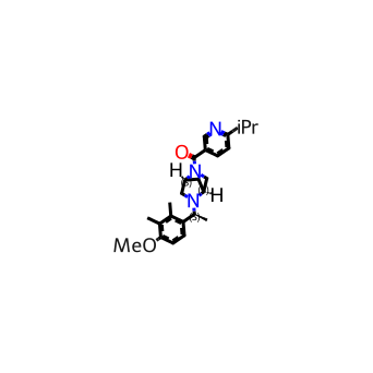 COc1ccc([C@H](C)N2C[C@@H]3C[C@H]2CN3C(=O)c2ccc(C(C)C)nc2)c(C)c1C